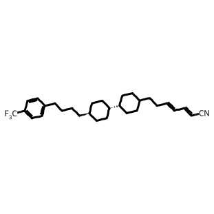 N#C/C=C/C=C/CCC1CCC([C@H]2CC[C@H](CCCCc3ccc(C(F)(F)F)cc3)CC2)CC1